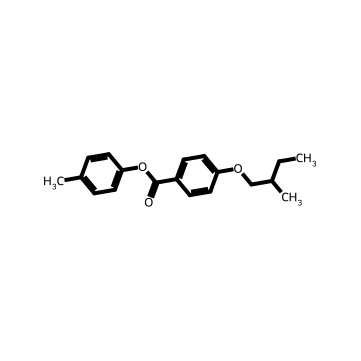 CCC(C)COc1ccc(C(=O)Oc2ccc(C)cc2)cc1